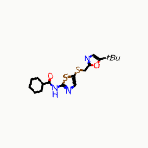 CC(C)(C)c1cnc(CSc2cnc(NC(=O)C3CCCCC3)s2)o1